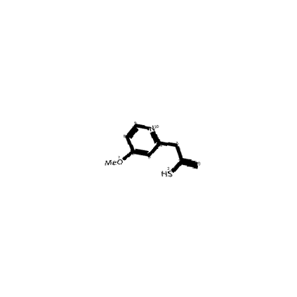 C=C(S)Cc1cc(OC)ccn1